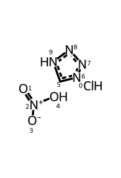 Cl.O=[N+]([O-])O.c1nnn[nH]1